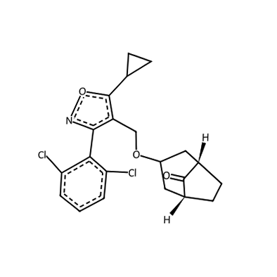 O=C1[C@@H]2CC[C@H]1CC(OCc1c(-c3c(Cl)cccc3Cl)noc1C1CC1)C2